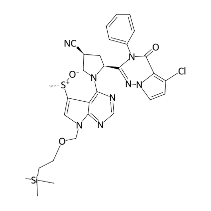 C[S@+]([O-])c1cn(COCC[Si](C)(C)C)c2ncnc(N3C[C@@H](C#N)C[C@H]3c3nn4ccc(Cl)c4c(=O)n3-c3ccccc3)c12